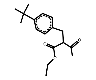 CCOC(=O)C(Cc1ccc(C(C)(C)C)cc1)C(C)=O